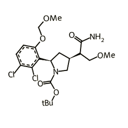 COCOc1ccc(Cl)c(Cl)c1[C@H]1C[C@@H](C(COC)C(N)=O)CN1C(=O)OC(C)(C)C